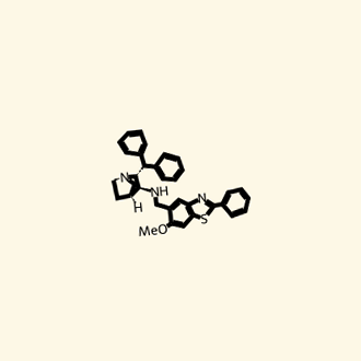 COc1cc2sc(-c3ccccc3)nc2cc1CN[C@H]1[C@H]2CC[N@@](C2)[C@@H]1C(c1ccccc1)c1ccccc1